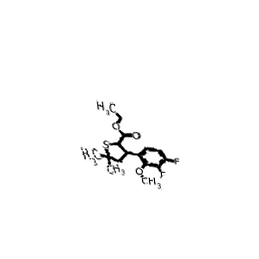 CCOC(=O)C1SC(C)(C)CC1c1ccc(F)c(F)c1OC